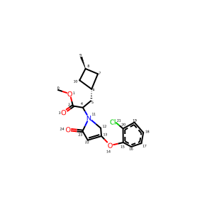 COC(=O)C(C[C@H]1C[C@H](C)C1)N1CC(Oc2ccccc2Cl)=CC1=O